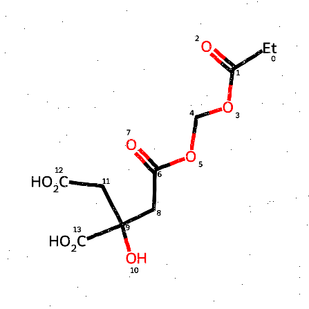 CCC(=O)OCOC(=O)CC(O)(CC(=O)O)C(=O)O